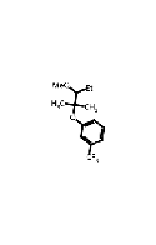 [CH2]CC(OC)C(C)(C)Oc1cccc(C(F)(F)F)c1